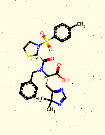 Cc1ccc(S(=O)(=O)N2CCS[C@H]2C(=O)N(Cc2ccccc2)[C@@H](CC2=NC=NC2(C)C)C(=O)O)cc1